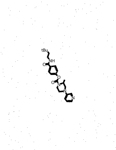 CC1CN(c2cccnc2)CCN1C(=O)Oc1ccc(C(=O)NCCC(C)(C)C)cc1